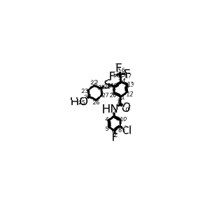 O=C(Nc1ccc(F)c(Cl)c1)c1ccc(C(F)(F)F)c(SC2CCC(O)CC2)c1